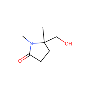 CN1C(=O)CCC1(C)CO